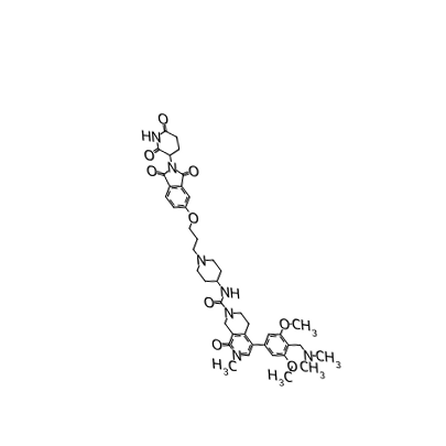 COc1cc(-c2cn(C)c(=O)c3c2CCN(C(=O)NC2CCN(CCCOc4ccc5c(c4)C(=O)N(C4CCC(=O)NC4=O)C5=O)CC2)C3)cc(OC)c1CN(C)C